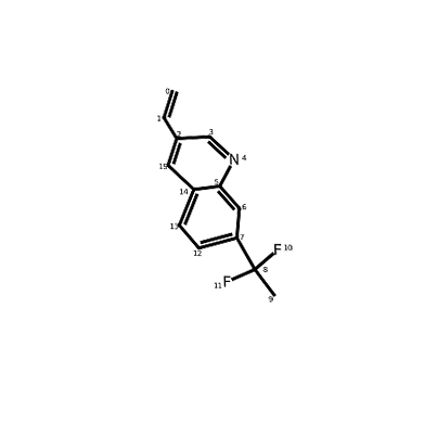 C=Cc1cnc2cc(C(C)(F)F)ccc2c1